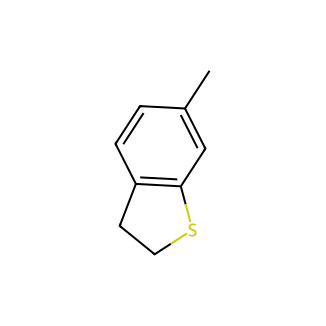 Cc1ccc2c(c1)SCC2